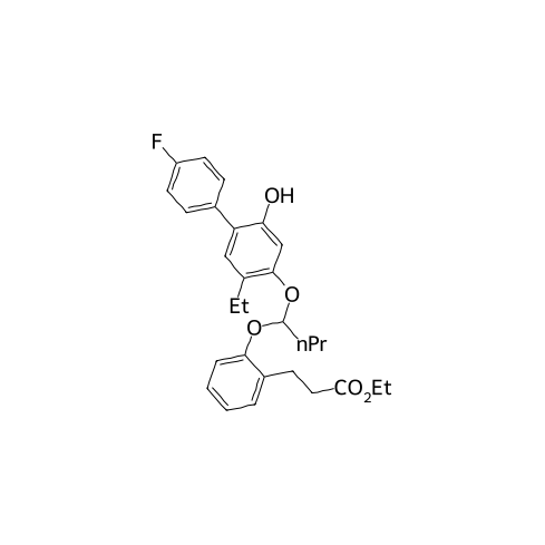 CCCC(Oc1cc(O)c(-c2ccc(F)cc2)cc1CC)Oc1ccccc1CCC(=O)OCC